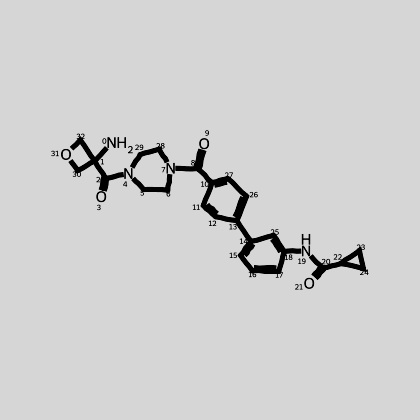 NC1(C(=O)N2CCN(C(=O)c3ccc(-c4cccc(NC(=O)C5CC5)c4)cc3)CC2)COC1